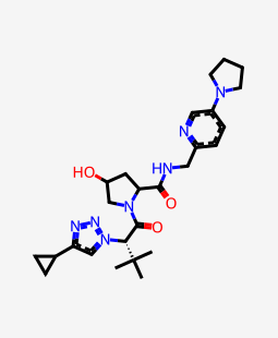 CC(C)(C)[C@@H](C(=O)N1CC(O)CC1C(=O)NCc1ccc(N2CCCC2)cn1)n1cc(C2CC2)nn1